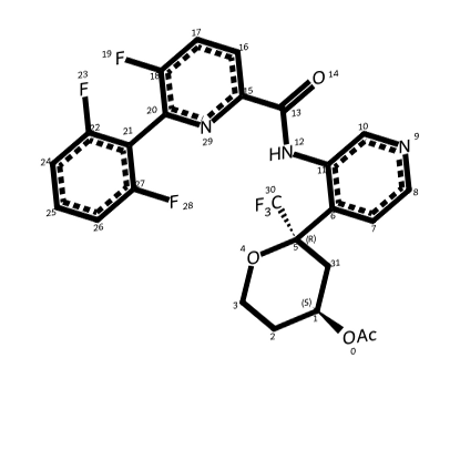 CC(=O)O[C@H]1CCO[C@](c2ccncc2NC(=O)c2ccc(F)c(-c3c(F)cccc3F)n2)(C(F)(F)F)C1